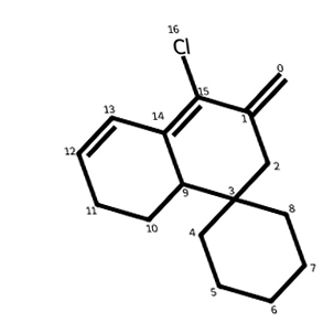 C=C1CC2(CCCCC2)C2CCC=CC2=C1Cl